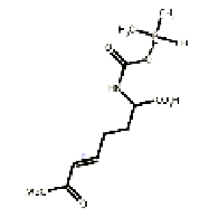 COC(=O)/C=C/CCC(NC(=O)O[PH](C)(C)C)C(=O)O